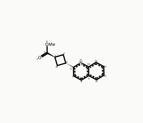 COC(=O)[C@H]1C[C@H](c2ccc3ccccc3n2)C1